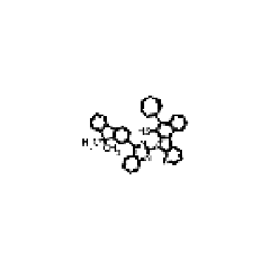 CC1(C)c2ccccc2-c2ccc(-c3nc(-n4c5ncccc5c5c6ccccc6c(C6=CC=CCC#C6)c(S)c54)nc4ccccc34)cc21